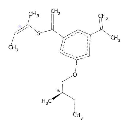 C=C(C)c1cc(OC[C@H](C)CC)cc(C(=C)S/C(C)=C\C)c1